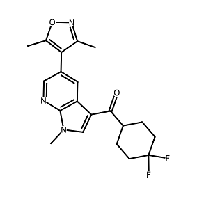 Cc1noc(C)c1-c1cnc2c(c1)c(C(=O)C1CCC(F)(F)CC1)cn2C